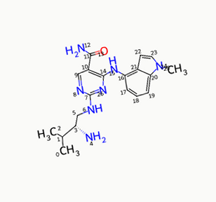 CC(C)[C@@H](N)CNc1ncc(C(N)=O)c(Nc2cccc3c2ccn3C)n1